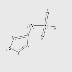 CS(=O)(=O)Nc1[c]scc1